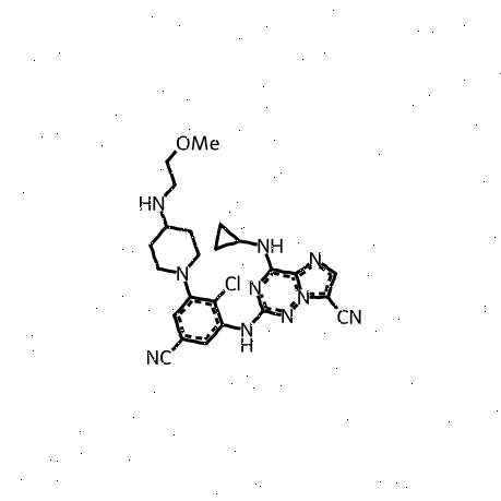 COCCNC1CCN(c2cc(C#N)cc(Nc3nc(NC4CC4)c4ncc(C#N)n4n3)c2Cl)CC1